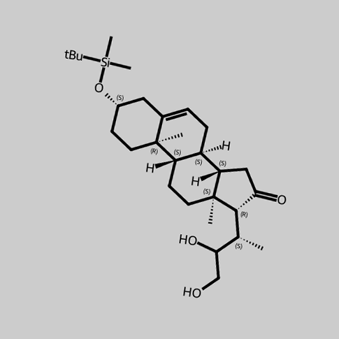 C[C@H](C(O)CO)[C@H]1C(=O)C[C@H]2[C@@H]3CC=C4C[C@@H](O[Si](C)(C)C(C)(C)C)CC[C@]4(C)[C@H]3CC[C@]12C